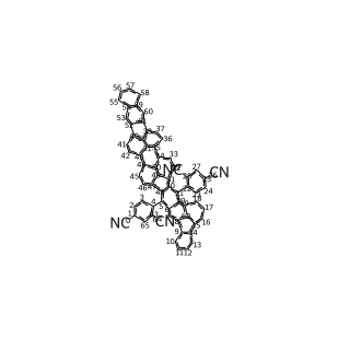 N#Cc1ccc(-c2c3cc4c5ccccc5c5cccc(c3c(-c3ccc(C#N)cc3C#N)c3c6ccc7c8ccc9c%10c(ccc(c%11ccc(c23)c6c%117)c%108)-c2cc3ccccc3cc2-9)c54)c(C#N)c1